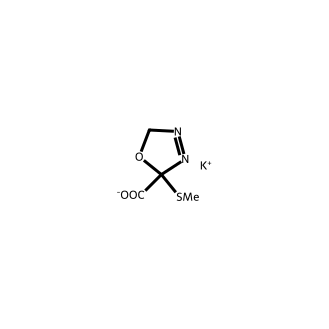 CSC1(C(=O)[O-])N=NCO1.[K+]